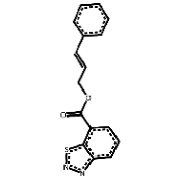 O=C(OCC=Cc1ccccc1)c1cccc2nnsc12